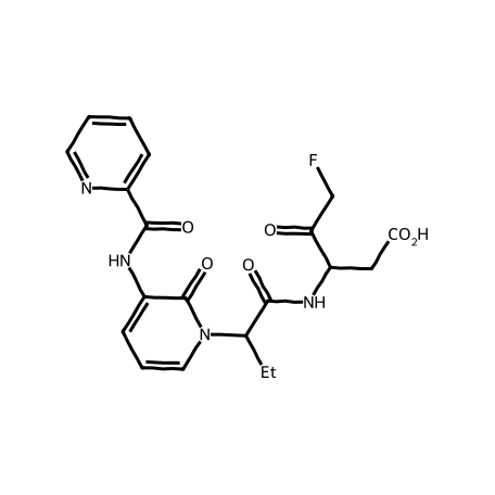 CCC(C(=O)NC(CC(=O)O)C(=O)CF)n1cccc(NC(=O)c2ccccn2)c1=O